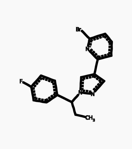 CCC(c1ccc(F)cc1)n1cc(-c2cccc(Br)n2)cn1